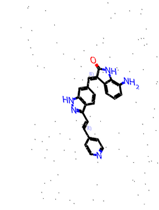 Nc1cccc2c1NC(=O)/C2=C/c1ccc2c(/C=C/c3ccncc3)n[nH]c2c1